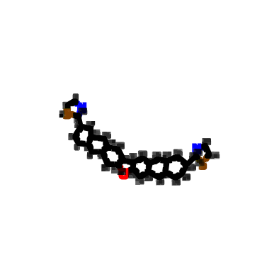 c1csc(-c2ccc3cc4cc5oc6cc7cc8ccc(-c9nccs9)cc8cc7cc6c5cc4cc3c2)n1